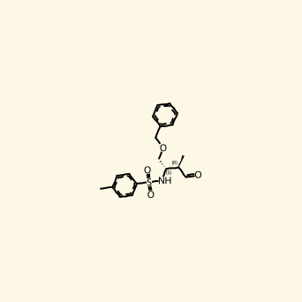 Cc1ccc(S(=O)(=O)N[C@H](COCc2ccccc2)[C@@H](C)C=O)cc1